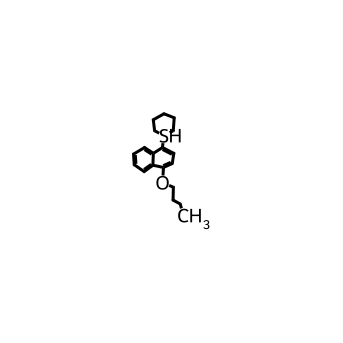 CCCCOc1ccc([SH]2CCCCC2)c2ccccc12